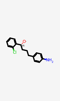 Nc1ccc(CCC[C@@H]([O])c2ccccc2Cl)cc1